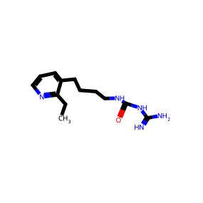 CCc1ncccc1CCCCNC(=O)NC(=N)N